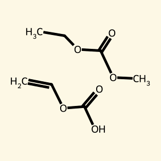 C=COC(=O)O.CCOC(=O)OC